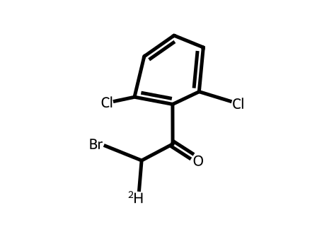 [2H]C(Br)C(=O)c1c(Cl)cccc1Cl